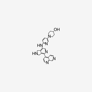 OC1CCN(c2ccc(Nc3cnc(-c4ccnc5cnccc45)c4c3CNC4)nc2)CC1